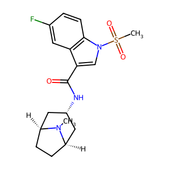 CN1[C@@H]2CC[C@H]1C[C@H](NC(=O)c1cn(S(C)(=O)=O)c3ccc(F)cc13)C2